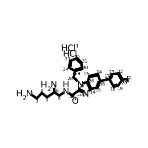 Cl.Cl.NCCCC(N)CNC(=O)c1nc2cc(-c3ccc(F)cc3)ccc2n1Cc1ccccc1